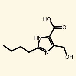 CCCCc1nc(CO)c(C(=O)O)[nH]1